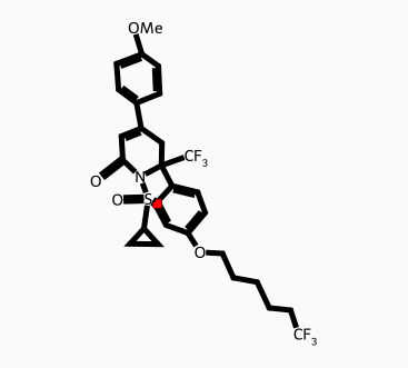 COc1ccc(C2=CC(=O)N(S(=O)(=O)C3CC3)C(c3ccc(OCCCCCC(F)(F)F)cc3)(C(F)(F)F)C2)cc1